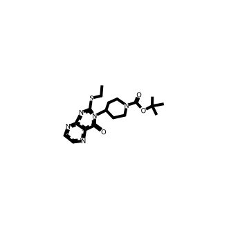 CCSc1nc2nccnc2c(=O)n1C1CCN(C(=O)OC(C)(C)C)CC1